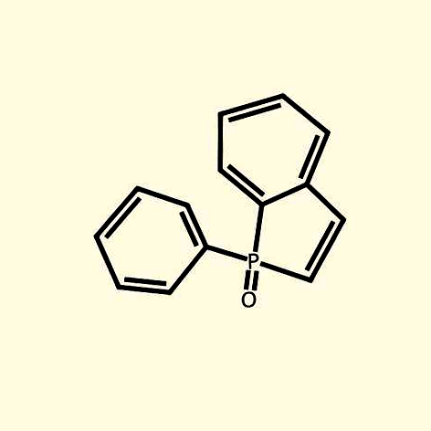 O=P1(c2ccccc2)C=Cc2ccccc21